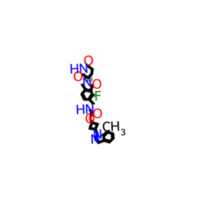 Cc1cccc2cnn(C3CC(OC(=O)NCc4ccc5c(c4F)C(=O)N([C@H]4CCC(=O)NC4=O)C5)C3)c12